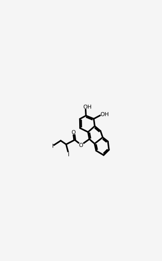 O=C(Oc1c2ccccc2cc2c(O)c(O)ccc12)C(I)CI